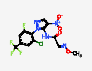 CO/N=C/C(=O)Nc1c([N+](=O)[O-])cnn1-c1c(F)cc(C(F)(F)F)cc1Cl